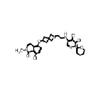 Cn1ccc2c(OC3CC4(C3)CN(CCNc3cnn(C5CCCCO5)c(=O)c3Cl)C4)ccc(Cl)c2c1=O